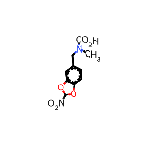 CN(Cc1ccc2c(c1)OC([N+](=O)[O-])O2)C(=O)O